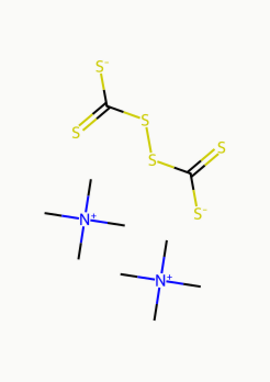 C[N+](C)(C)C.C[N+](C)(C)C.S=C([S-])SSC(=S)[S-]